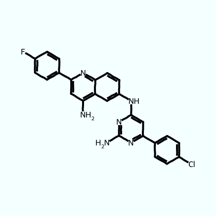 Nc1nc(Nc2ccc3nc(-c4ccc(F)cc4)cc(N)c3c2)cc(-c2ccc(Cl)cc2)n1